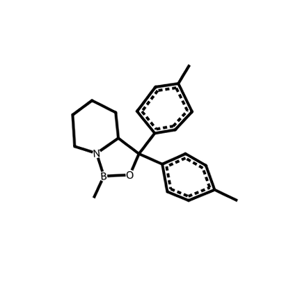 CB1OC(c2ccc(C)cc2)(c2ccc(C)cc2)C2CCCCN12